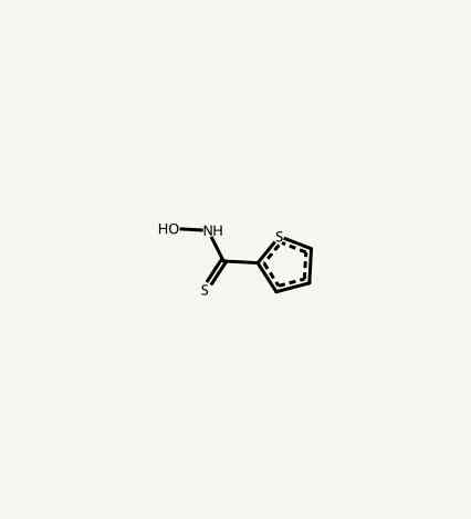 ONC(=S)c1cccs1